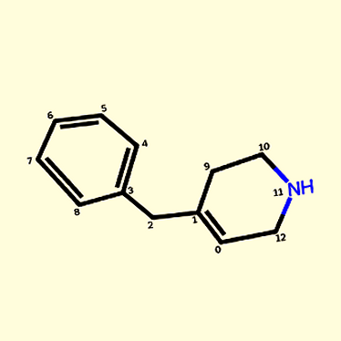 C1=C(Cc2ccccc2)CCNC1